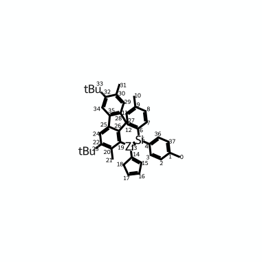 Cc1ccc([Si](c2ccc(C)cc2)=[Zr]([C]2=CC=CC2)[c]2c(C)c(C(C)(C)C)cc3c2Cc2cc(C)c(C(C)(C)C)cc2-3)cc1